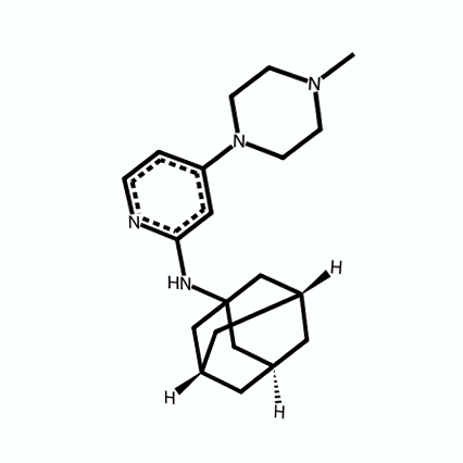 CN1CCN(c2ccnc(NC34C[C@H]5C[C@@H](C3)C[C@@H](C4)C5)c2)CC1